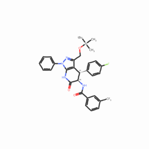 CC(C)(C)[Si](C)(C)OCc1nn(-c2ccccc2)c2c1[C@H](c1ccc(F)cc1)[C@@H](NC(=O)c1cccc(C(F)(F)F)c1)C(=O)N2